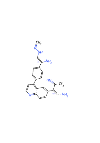 C=NN/C=C(\N)c1ccc(-c2ccnc3ccc(/C(=C/N)C(=N)C(F)(F)F)cc23)cc1